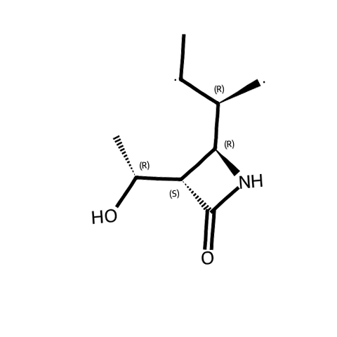 [CH2][C@H]([CH]C)[C@H]1NC(=O)[C@@H]1[C@@H](C)O